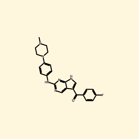 CN1CCN(c2ccc(Nc3ncc4c(C(=O)c5ccc(F)cc5)c[nH]c4n3)cc2)CC1